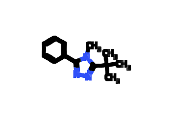 Cn1c(-c2ccccc2)nnc1C(C)(C)C